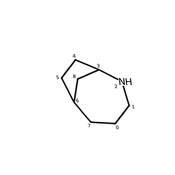 C1CNC2CCC(C1)C2